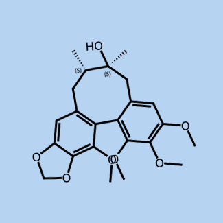 COc1cc2c(c(OC)c1OC)-c1c(cc3c(c1OC)OCO3)C[C@H](C)[C@@](C)(O)C2